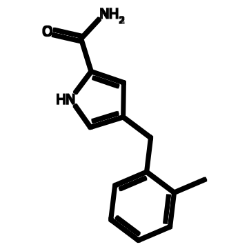 Cc1ccccc1Cc1c[nH]c(C(N)=O)c1